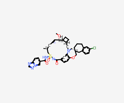 CO[C@H]1/C=C/C[C@H](C)CS(=O)(NC(=O)c2ccc3ncnn3c2)=NC(=O)c2ccc3c(c2)N(C[C@@H]2CC[C@H]21)C[C@@]1(CCCc2cc(Cl)ccc2C1)CO3